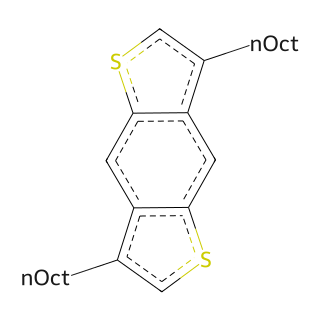 CCCCCCCCc1csc2cc3c(CCCCCCCC)csc3cc12